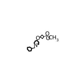 COC(=O)[C@H]1C[C@H](Oc2cc[n+](Cc3ccccc3)cc2)C1